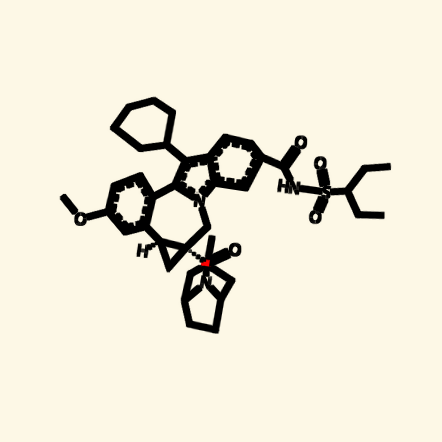 CCC(CC)S(=O)(=O)NC(=O)c1ccc2c(C3CCCCC3)c3n(c2c1)C[C@@]1(C(=O)N2C4CCC2CN(C)C4)C[C@H]1c1cc(OC)ccc1-3